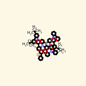 CC(C)(C)c1ccc(N2c3cc(-n4c5ccccc5c5ccccc54)ccc3B3c4ccc(-n5c6ccc(C(C)(C)C)cc6c6cc(C(C)(C)C)ccc65)cc4N(c4c(-c5ccccc5)cccc4-c4ccccc4)c4cc(-c5c(-c6cccc7oc8ccccc8c67)cccc5-n5c6ccccc6c6ccccc65)cc2c43)c(-c2ccccc2)c1